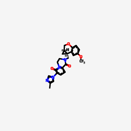 Cc1cn(-c2ccc3n(c2=O)CCN(C[C@]24C[C@H]2COc2ccc(OC(F)(F)F)cc24)C3=O)cn1